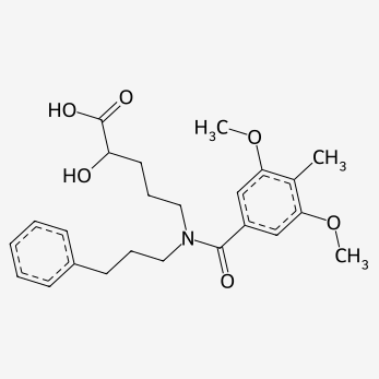 COc1cc(C(=O)N(CCCc2ccccc2)CCCC(O)C(=O)O)cc(OC)c1C